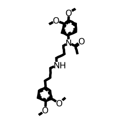 COc1ccc(CCCNCCCN(C(C)=O)c2ccc(OC)c(OC)c2)cc1OC